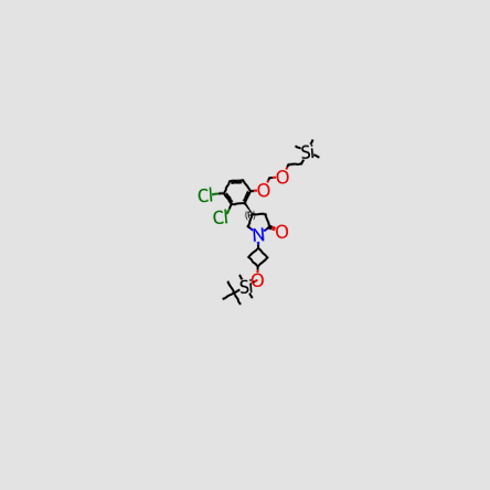 CC(C)(C)[Si](C)(C)OC1CC(N2C[C@@H](c3c(OCOCC[Si](C)(C)C)ccc(Cl)c3Cl)CC2=O)C1